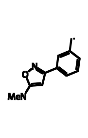 [CH2]c1cccc(-c2cc(NC)on2)c1